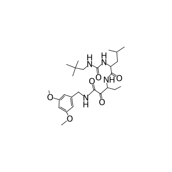 CCC(NC(=O)C(CC(C)C)NC(=O)NCC(C)(C)C)C(=O)C(=O)NCc1cc(OC)cc(OC)c1